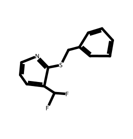 FC(F)c1cccnc1SCc1ccccc1